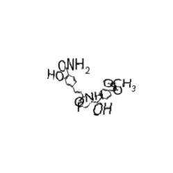 CS(=O)(=O)c1ccc([C@@H](O)[C@@H](CF)NC(=O)/C=C/c2ccc(C(N)=O)c(O)c2)cc1